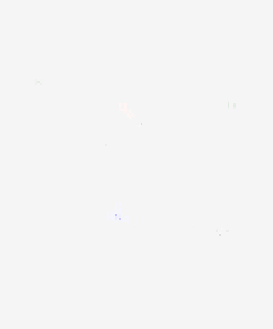 COc1ccc2[nH]cc(C=C(Sc3ccc(Br)cc3)C(=O)c3ccc(Br)cc3)c2c1